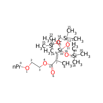 CCCOCCOC(=O)C(C)=C[Si](O[Si](C)(C)C)(O[Si](C)(C)C)O[Si](C)(C)C